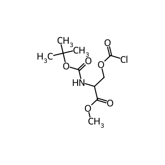 COC(=O)C(COC(=O)Cl)NC(=O)OC(C)(C)C